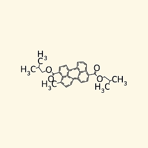 Cc1ccc2c3ccc(C(=O)OCC(C)C)c4cccc(c5ccc(C(=O)OCC(C)C)c1c25)c43